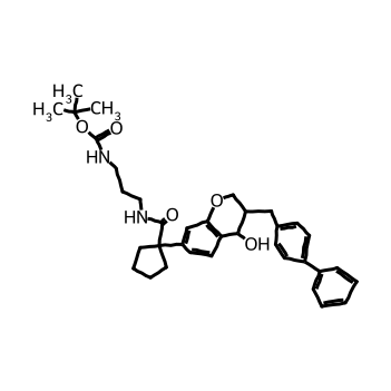 CC(C)(C)OC(=O)NCCCNC(=O)C1(c2ccc3c(c2)OCC(Cc2ccc(-c4ccccc4)cc2)C3O)CCCC1